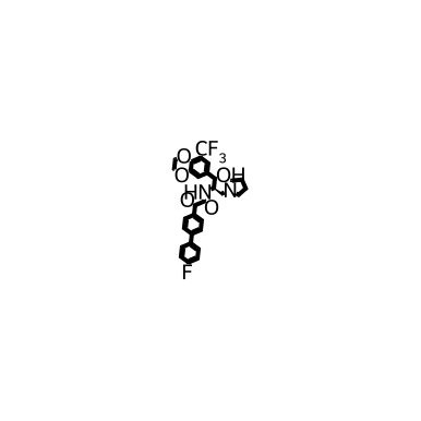 O=C(N[C@H](CN1CCCC1)[C@H](O)c1cc2c(c(C(F)(F)F)c1)OCCO2)C(=O)c1ccc(-c2ccc(F)cc2)cc1